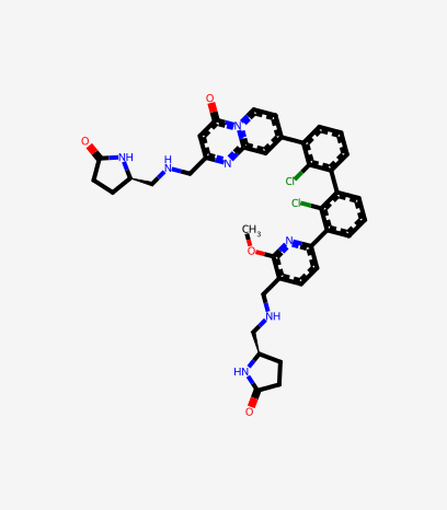 COc1nc(-c2cccc(-c3cccc(-c4ccn5c(=O)cc(CNC[C@H]6CCC(=O)N6)nc5c4)c3Cl)c2Cl)ccc1CNC[C@H]1CCC(=O)N1